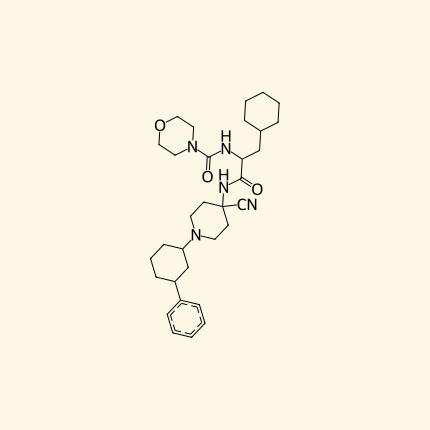 N#CC1(NC(=O)C(CC2CCCCC2)NC(=O)N2CCOCC2)CCN(C2CCCC(c3ccccc3)C2)CC1